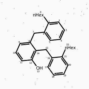 CCCCCCc1ccccc1Cc1cccc(O)c1Cc1ccccc1CCCCCC